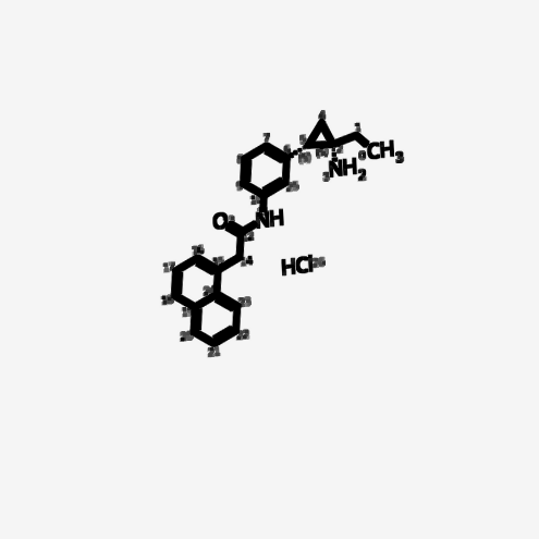 CC[C@]1(N)C[C@H]1c1cccc(NC(=O)Cc2cccc3ccccc23)c1.Cl